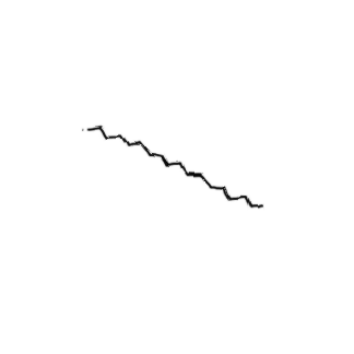 [CH2]CCCCCCC=CCC=CCCCCCC